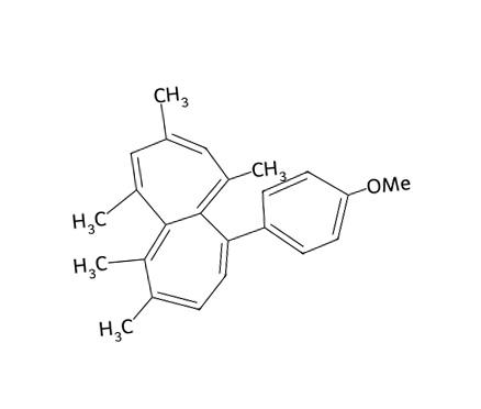 COc1ccc(C2=CC=C(C)C(C)=C3C(C)=CC(C)=CC(C)=C23)cc1